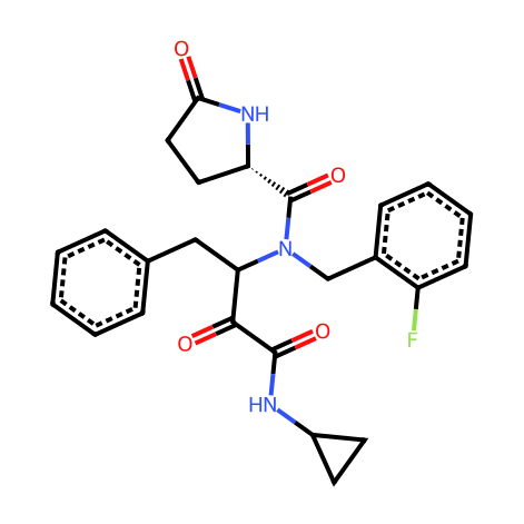 O=C1CC[C@@H](C(=O)N(Cc2ccccc2F)C(Cc2ccccc2)C(=O)C(=O)NC2CC2)N1